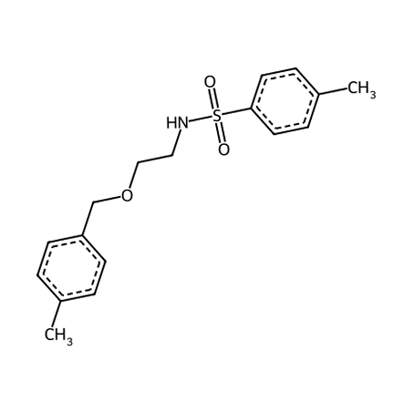 Cc1ccc(COCCNS(=O)(=O)c2ccc(C)cc2)cc1